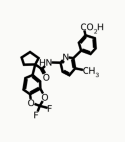 Cc1ccc(NC(=O)C2(c3ccc4c(c3)OC(F)(F)O4)CCCC2)nc1-c1cccc(C(=O)O)c1